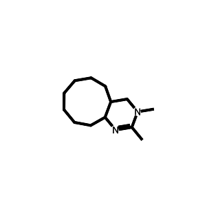 CC1=NC2CCCCCCCC2CN1C